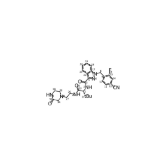 CC(C)(C)[C@H](NC(=O)c1nn(Cc2ccc(C#N)cc2F)c2ccccc12)C(=O)NCCN1CCNC(=O)C1